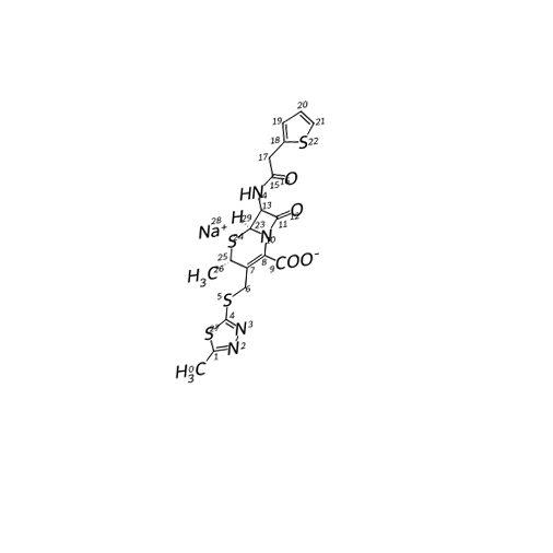 Cc1nnc(SCC2=C(C(=O)[O-])N3C(=O)C(NC(=O)Cc4cccs4)[C@@H]3S[C@H]2C)s1.[Na+]